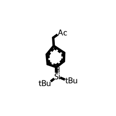 CC(=O)Cc1ccc([SiH](C(C)(C)C)C(C)(C)C)cc1